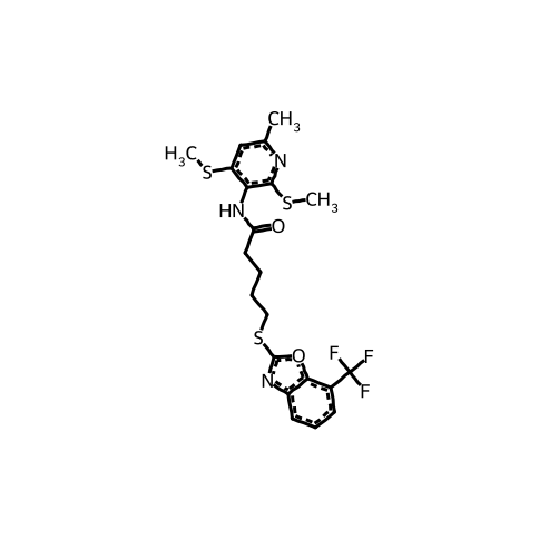 CSc1cc(C)nc(SC)c1NC(=O)CCCCSc1nc2cccc(C(F)(F)F)c2o1